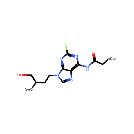 CCCCCCCCCCCC(=O)Nc1nc(F)nc2c1ncn2CCC(CO)OC